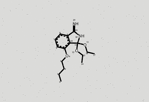 CCCCOc1cccc2c1C(OCC)(OCC)NC2=N